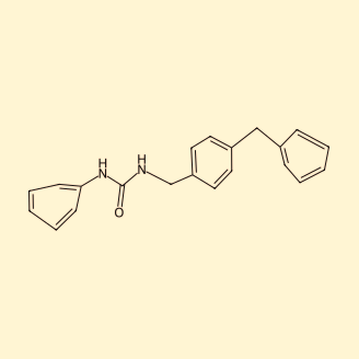 O=C(NCc1ccc(Cc2ccccc2)cc1)Nc1ccccc1